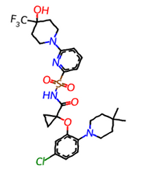 CC1(C)CCN(c2ccc(Cl)cc2OC2(C(=O)NS(=O)(=O)c3cccc(N4CCC(O)(C(F)(F)F)CC4)n3)CC2)CC1